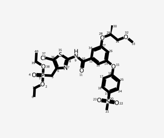 CCOP(=O)(Cc1nc(NC(=O)c2cc(Oc3ccc(S(C)(=O)=O)cc3)cc(O[C@@H](C)COC)c2)sc1Cl)OCC